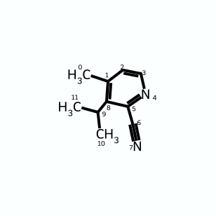 Cc1ccnc(C#N)c1C(C)C